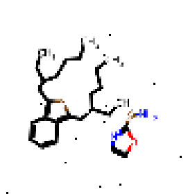 CCCCC(CC)Cc1sc(CC(CC)CCCC)c2ccccc12.NSc1ncco1